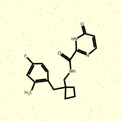 Cc1cc(F)ccc1CC1(CNC(=O)c2nccc(=O)[nH]2)CCC1